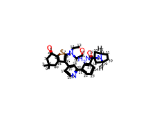 CC1(C)CC(=O)c2sc(N3CCOCC3)c(-c3ccnc(-c4cccc(C(=O)N5[C@@H]6CC[C@H]5C[C@H](N)C6)c4)c3)c2C1